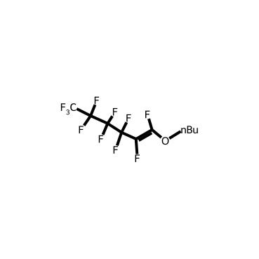 CCCCOC(F)=C(F)C(F)(F)C(F)(F)C(F)(F)C(F)(F)F